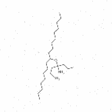 CCCCCCCCCC(CCCCCCCC)OC(N)(CCC)CCN